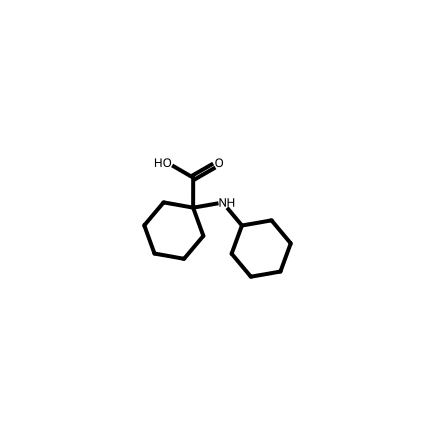 O=C(O)C1(NC2CCCCC2)CCCCC1